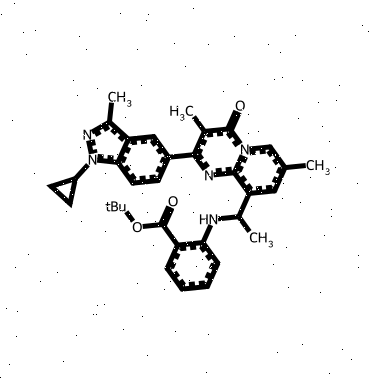 Cc1cc(C(C)Nc2ccccc2C(=O)OC(C)(C)C)c2nc(-c3ccc4c(c3)c(C)nn4C3CC3)c(C)c(=O)n2c1